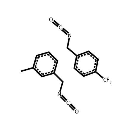 Cc1cccc(CN=C=O)c1.O=C=NCc1ccc(C(F)(F)F)cc1